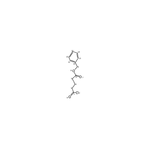 O=C(Cl)CCCC(=O)OCc1ccccc1